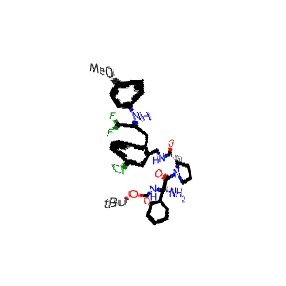 COc1ccc(NC(Cc2ccc(Cl)cc2CNC(=O)[C@@H]2CCCN2C(=O)[C@](N)(NC(=O)OC(C)(C)C)C2CCCCC2)C(F)F)cc1